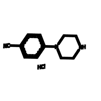 Cl.N#Cc1ccc(N2CCNCC2)cc1